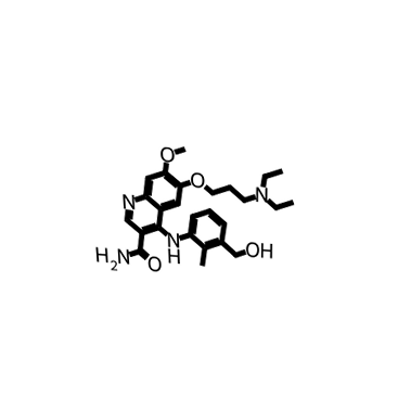 CCN(CC)CCCOc1cc2c(Nc3cccc(CO)c3C)c(C(N)=O)cnc2cc1OC